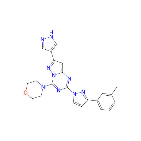 Cc1cccc(-c2ccn(-c3nc(N4CCOCC4)n4nc(-c5cn[nH]c5)cc4n3)n2)c1